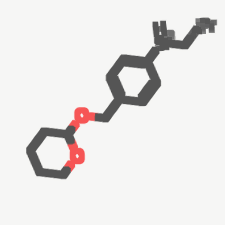 CC(C)C[SiH2]c1ccc(COC2CCCCO2)cc1